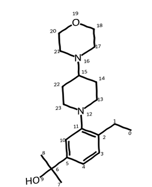 CCc1ccc(C(C)(C)O)cc1N1CCC(N2CCOCC2)CC1